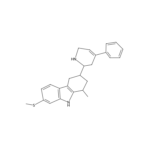 CSc1ccc2c3c([nH]c2c1)C(C)CC(C1CC(c2ccccc2)=CCN1)C3